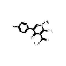 Cc1c(C(N)=O)c(=O)c(-c2ccc(F)cc2)cn1C